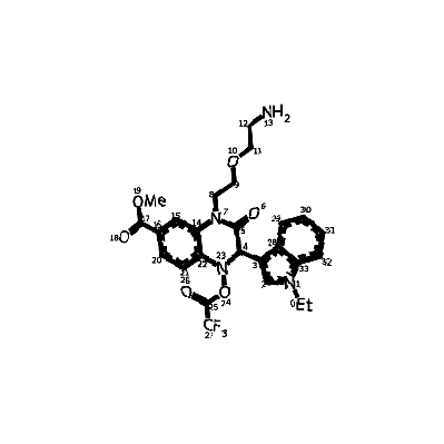 CCn1cc(C2C(=O)N(CCOCCN)c3cc(C(=O)OC)ccc3N2OC(=O)C(F)(F)F)c2ccccc21